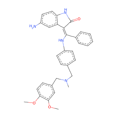 COc1ccc(CN(C)Cc2ccc(NC(=C3C(=O)Nc4ccc(N)cc43)c3ccccc3)cc2)cc1OC